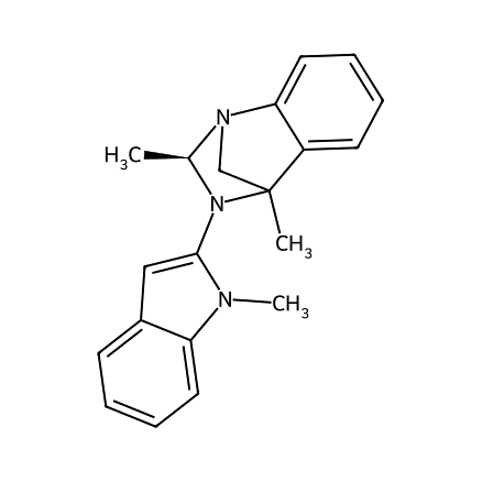 C[C@H]1N2CC(C)(c3ccccc32)N1c1cc2ccccc2n1C